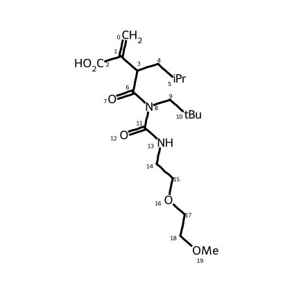 C=C(C(=O)O)C(CC(C)C)C(=O)N(CC(C)(C)C)C(=O)NCCOCCOC